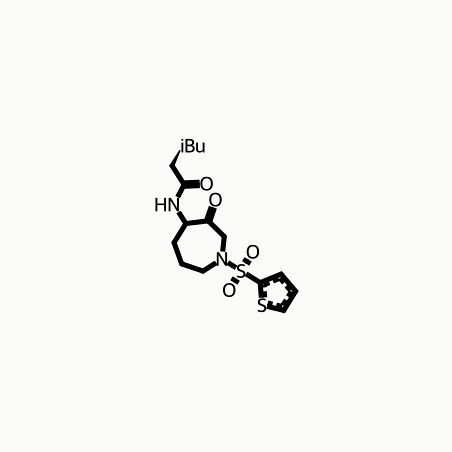 [CH2]C[C@H](C)CC(=O)NC1CCCN(S(=O)(=O)c2cccs2)CC1=O